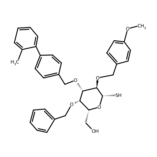 COc1ccc(CO[C@@H]2[C@@H](OCc3ccc(-c4ccccc4C)cc3)[C@@H](OCc3ccccc3)[C@@H](CO)O[C@H]2S)cc1